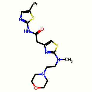 CC(C)c1cnc(NC(=O)Cc2csc(N(C)CCN3CCOCC3)n2)s1